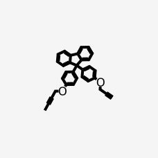 C#CCOc1ccc(C2(c3ccc(OCC#CC)cc3)c3ccccc3-c3ccccc32)cc1